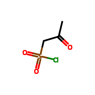 CC(=O)CS(=O)(=O)Cl